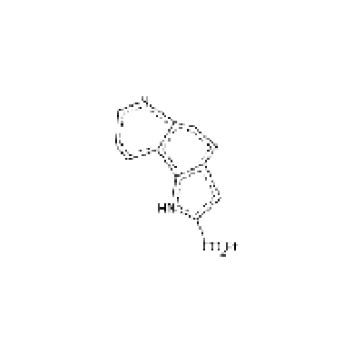 CCOC(=O)c1cc2ccc3ncccc3c2[nH]1